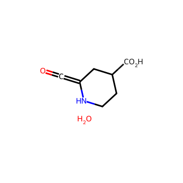 O.O=C=C1CC(C(=O)O)CCN1